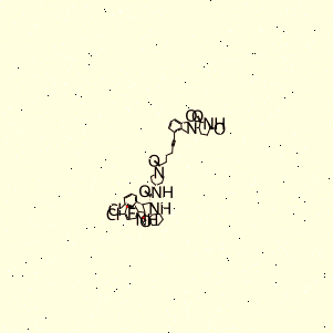 O=C1CCC(N2Cc3c(C#CCCCC(=O)N4CCC(NC(=O)[C@@H]5NC6(CCCCC6)[C@@]6(C(=O)Nc7cc(Cl)ccc76)[C@H]5c5cccc(Cl)c5F)CC4)cccc3C2=O)C(=O)N1